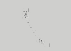 Cc1ccc2oc(-c3ccc(-c4ccc(-c5ccc(-c6ccc(-c7nc8nc(C)ccc8o7)cc6)cc5)cc4)cc3)nc2n1